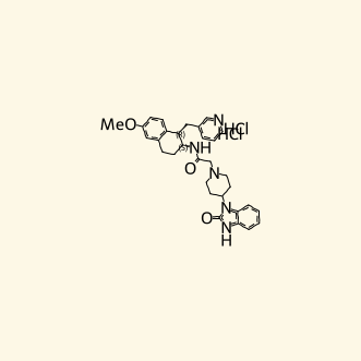 COc1ccc2c(c1)CC[C@H](NC(=O)CN1CCC(n3c(=O)[nH]c4ccccc43)CC1)[C@@H]2Cc1cccnc1.Cl.Cl